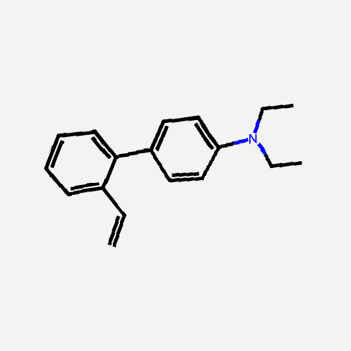 C=Cc1ccccc1-c1ccc(N(CC)CC)cc1